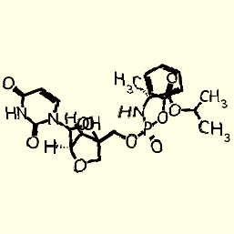 CC(C)OC(=O)[C@@H](C)NP(=O)(OCC12CO[C@@H](C(n3ccc(=O)[nH]c3=O)O1)[C@@H]2O)Oc1ccccc1